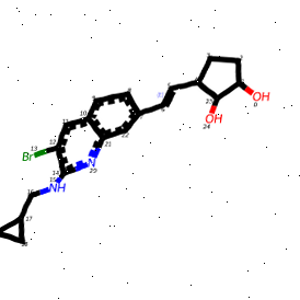 OC1CCC(/C=C/c2ccc3cc(Br)c(NCC4CC4)nc3c2)C1O